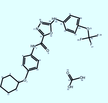 O=C(Nc1ccc(OC2CCCCC2)cc1)c1nnc(Nc2ccc(OC(F)(F)F)cc2)o1.O=C(O)O